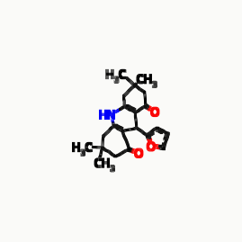 CC1(C)CC(=O)C2=C(C1)NC1=C(C(=O)CC(C)(C)C1)C2c1ccco1